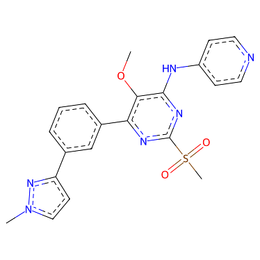 COc1c(Nc2ccncc2)nc(S(C)(=O)=O)nc1-c1cccc(-c2ccn(C)n2)c1